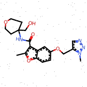 Cc1oc2ccc(OCc3cnnn3C)cc2c1C(=O)NC1(CO)CCOCC1